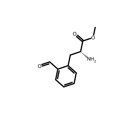 COC(=O)[C@H](N)Cc1ccccc1C=O